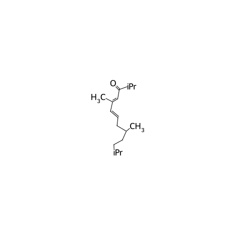 CC(C=CCC(C)CCC(C)C)=CC(=O)C(C)C